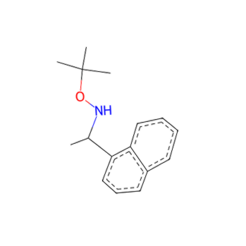 CC(NOC(C)(C)C)c1cccc2ccccc12